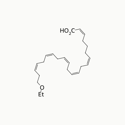 CCOCC/C=C\C/C=C\C/C=C\C/C=C\C/C=C\CCC/C=C\C(=O)O